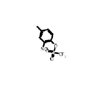 Cc1ccc(OS(=O)(=O)C(F)(F)F)c([N+](=O)[O-])c1